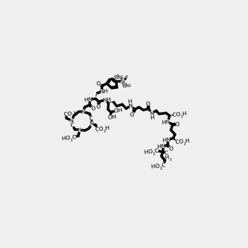 CC(CCC(=O)O)(NC(=O)N[C@@H](CCC(=O)N[C@H](CCCNC(=O)CCC(=O)NCCCC[C@H](CC(O)O)NC(=O)[C@@H](CNC(=O)c1ccc([Si](F)(C(C)(C)C)C(C)(C)C)cc1)NC(=O)CN1CCN(CC(=O)O)CCN(CC(=O)O)CCN(CC(=O)O)CC1)C(=O)O)C(=O)O)C(=O)O